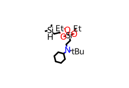 CCO[Si](CCN(C1CCCCC1)C(C)(C)C)(OCC)OCC[SiH](C)C